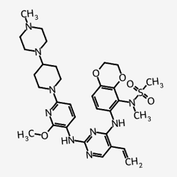 C=Cc1cnc(Nc2ccc(N3CCC(N4CCN(C)CC4)CC3)nc2OC)nc1Nc1ccc2c(c1N(C)S(C)(=O)=O)OCCO2